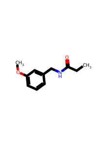 CCC(=O)NCc1cccc(OC)c1